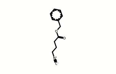 [C-]#[N+]CCCC(=O)OCc1ccccc1